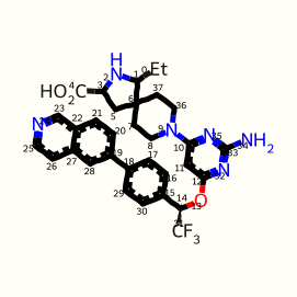 CCC1NC(C(=O)O)CC12CCN(c1cc(O[C@H](c3ccc(-c4ccc5cnccc5c4)cc3)C(F)(F)F)nc(N)n1)CC2